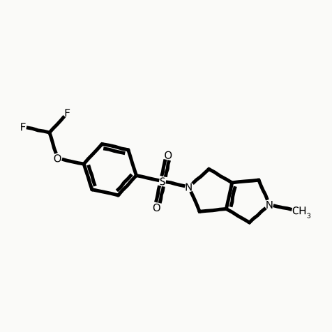 CN1CC2=C(C1)CN(S(=O)(=O)c1ccc(OC(F)F)cc1)C2